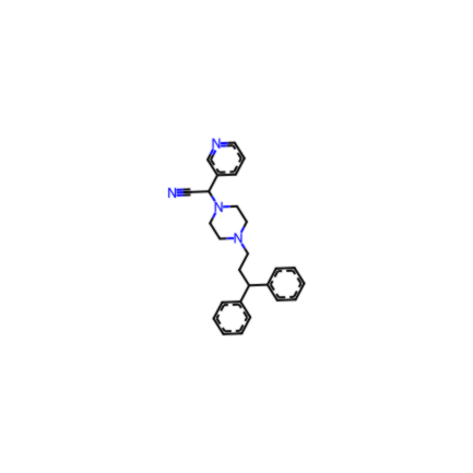 N#CC(c1cccnc1)N1CCN(CCC(c2ccccc2)c2ccccc2)CC1